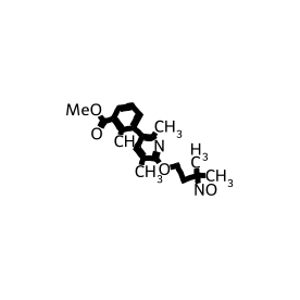 COC(=O)c1cccc(-c2cc(C)c(OCCC(C)(C)N=O)nc2C)c1C